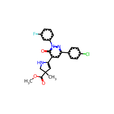 COC(=O)C1(C)C=C(c2cc(-c3ccc(Cl)cc3)nn(-c3cccc(F)c3)c2=O)NC1